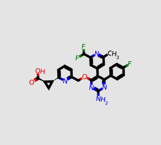 Cc1cc(-c2c(OCc3cccc([C@@H]4C[C@H]4C(=O)O)n3)nc(N)nc2-c2ccc(F)cc2)cc(C(F)F)n1